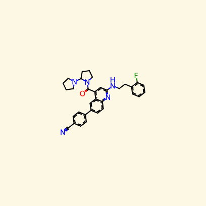 N#Cc1ccc(-c2ccc3nc(NCCc4ccccc4F)cc(C(=O)N4CCCC4N4CCCC4)c3c2)cc1